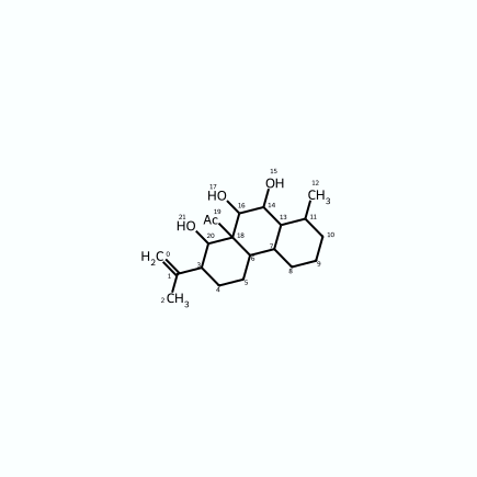 C=C(C)C1CCC2C3CCCC(C)C3C(O)C(O)C2(C(C)=O)C1O